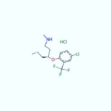 CCC[C@@H](CCNC)Oc1ccc(Cl)cc1C(F)(F)F.Cl